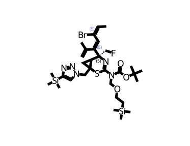 C=C(C)/C(=C\C(Br)=C/C)[C@@]1(CF)N=C(N(COCC[Si](C)(C)C)C(=O)OC(C)(C)C)SC2(Cn3cc([Si](C)(C)C)nn3)CC21